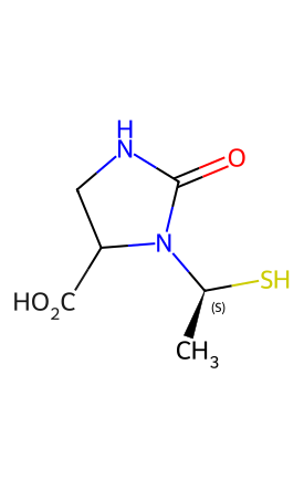 C[C@H](S)N1C(=O)NCC1C(=O)O